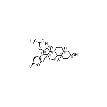 CC(=O)O[C@H]1[C@H]2O[C@]23C2CC[C@@H]4C[C@@H](O)CC[C@]4(C)C2CC[C@]3(C)[C@H]1c1ccc(=O)oc1